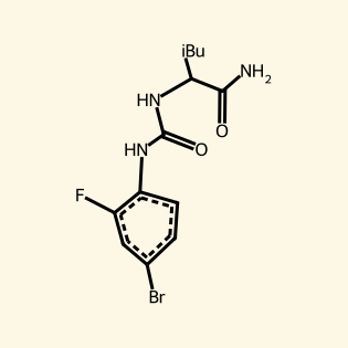 CCC(C)C(NC(=O)Nc1ccc(Br)cc1F)C(N)=O